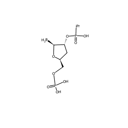 B[C@@H]1O[C@H](COP(=O)(O)O)C[C@H]1OP(=O)(O)C(C)C